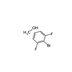 CO.Fc1cccc(F)c1Br